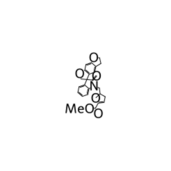 COC(=O)C1=CCC(CN2C(=O)C3(COc4cc5c(cc43)CCO5)c3ccccc32)O1